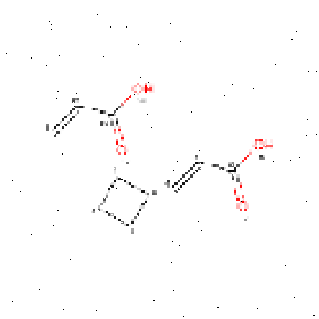 C1CCC1.C=CC(=O)O.C=CC(=O)O